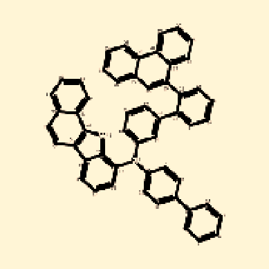 c1ccc(-c2ccc(N(c3cccc(-c4ccccc4-c4cc5ccccc5c5ccccc45)c3)c3cccc4c3oc3c5ccccc5ccc43)cc2)cc1